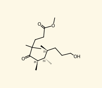 COC(=O)CCC(C)(C)C(=O)[C@H](C)[C@@H](C)[C@@H](C)CCCO